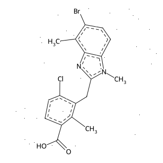 Cc1c(C(=O)O)ccc(Cl)c1Cc1nc2c(C)c(Br)ccc2n1C